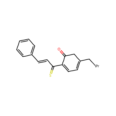 CC(C)CC1=CC=C(C(=S)C=Cc2ccccc2)C(=O)C1